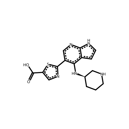 O=C(O)c1cnc(-c2cnc3[nH]ccc3c2N[C@@H]2CCCNC2)s1